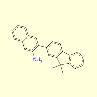 CC1(C)c2ccccc2-c2ccc(-c3cc4ccccc4cc3N)cc21